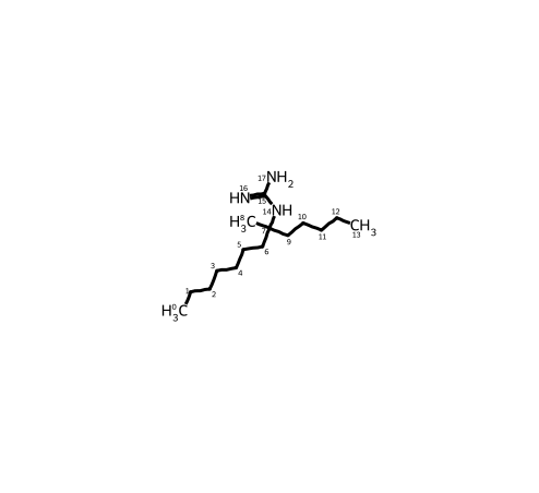 CCCCCCCC(C)(CCCCC)NC(=N)N